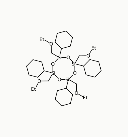 CCOC[Si]1(C2CCCCC2)O[Si](COCC)(C2CCCCC2)O[Si](COCC)(C2CCCCC2)O[Si](COCC)(C2CCCCC2)O1